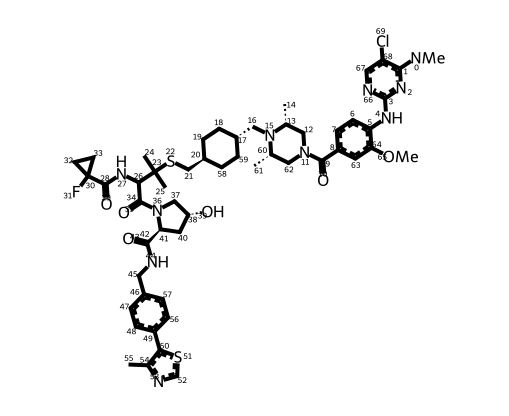 CNc1nc(Nc2ccc(C(=O)N3C[C@@H](C)N(C[C@H]4CC[C@H](CSC(C)(C)C(NC(=O)C5(F)CC5)C(=O)N5C[C@H](O)C[C@H]5C(=O)NCc5ccc(-c6scnc6C)cc5)CC4)[C@@H](C)C3)cc2OC)ncc1Cl